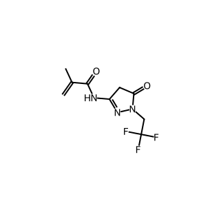 C=C(C)C(=O)NC1=NN(CC(F)(F)F)C(=O)C1